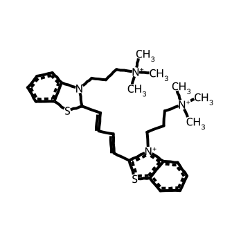 C[N+](C)(C)CCCN1c2ccccc2SC1C=CC=Cc1sc2ccccc2[n+]1CCC[N+](C)(C)C